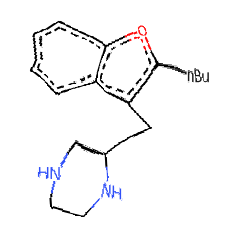 CCCCc1oc2ccccc2c1CC1CNCCN1